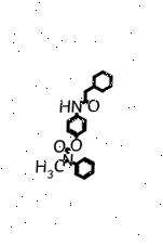 CN(C(=O)Oc1ccc(NC(=O)CC2CCCCC2)cc1)c1ccccc1